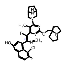 C=N/C(=C(/F)c1nc(OCC23CCCN2CCC3)nc(N2CC3CCC(C2)N3)c1C)c1cc(O)cc2ccc(F)c(Cl)c12